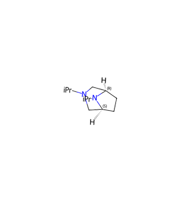 CC(C)N1C[C@H]2CC[C@@H](C1)N2C(C)C